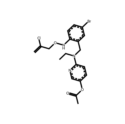 C=C(Cl)CONc1ccc(Br)cc1CN(CC)c1ccc(OC(C)=O)cn1